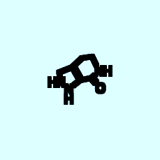 O=C1NCCC2=C1NNC2